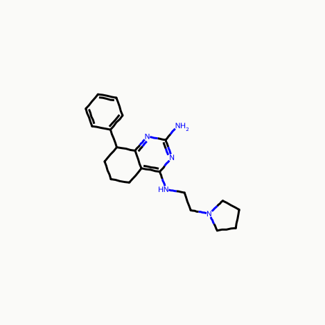 Nc1nc(NCCN2CCCC2)c2c(n1)C(c1ccccc1)CCC2